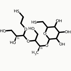 C[C@H](OC1OC(CS)C(O)C(O)C1O)C(CO)OC(OCCS)[C@@H](O)CO